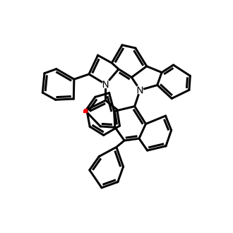 c1ccc(-c2c3ccccc3c(-n3c4ccccc4c4ccc5cc(-c6ccccc6)n(-c6ccccc6)c5c43)c3ccccc23)cc1